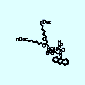 CCCCCCCCCCCCCCCCOCC(COP(=O)(O)OCCN(Cc1c2ccccc2cc2ccccc12)C(=O)CN)OCCCCCCCCCCCCCCCC